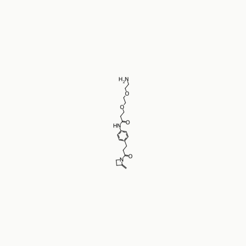 C=C1CCN1C(=O)CCc1ccc(NC(=O)CCOCCOCCN)cc1